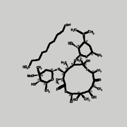 CCCCCCCCCCCCCCCCCCS(=O)(=O)O.CC[C@H]1OC(=O)[C@H](C)[C@@H](O[C@H]2C[C@@](C)(OC)[C@@H](O)[C@H](C)O2)[C@H](C)[C@@H](O[C@@H]2O[C@H](C)C[C@H](N(C)C)[C@H]2O)[C@](C)(O)C[C@@H](C)C(=O)[C@H](C)[C@@H](O)[C@]1(C)O